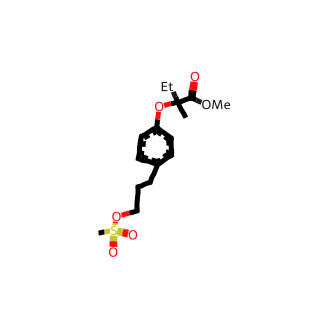 CCC(C)(Oc1ccc(CCCOS(C)(=O)=O)cc1)C(=O)OC